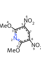 COc1nc(OC)c([N+](=O)[O-])cc1[N+](=O)[O-]